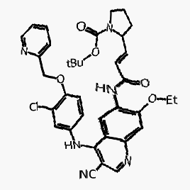 CCOc1cc2ncc(C#N)c(Nc3ccc(OCc4ccccn4)c(Cl)c3)c2cc1NC(=O)C=CC1CCCN1C(=O)OC(C)(C)C